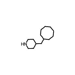 C1CCCC(CC2CCNCC2)CCC1